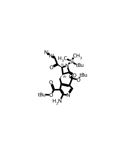 CC(C)(C)OC(=O)c1cnc(N)c(C(=O)OC(C)(C)C)c1C[C@H]1C(=O)N([Si](C)(C)C(C)(C)C)[C@@H]1C(=O)C=[N+]=[N-]